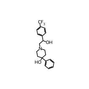 OC(CN1CCC(O)(c2ccccc2)CC1)c1ccc(C(F)(F)F)cc1